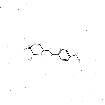 COc1ccc(CO[C@@H]2C=CC(=O)[C@@H](O)C2)cc1